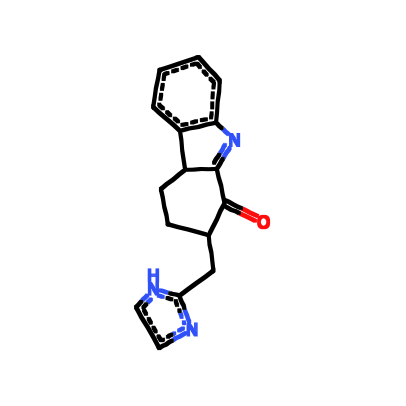 O=C1C2=Nc3ccccc3C2CCC1Cc1ncc[nH]1